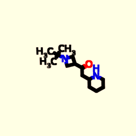 CC(C)(C)N1CC(C(=O)CC2CCCCN2)C1